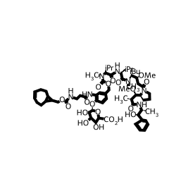 CC[C@H](C)[C@@H]([C@@H](CC(=O)N1CCC[C@H]1[C@H](OC)[C@@H](C)C(=O)N[C@H](C)[C@@H](O)c1ccccc1)OC)N(C)C(=O)[C@@H](NC(=O)[C@H](C(C)C)N(C)C(=O)OCc1ccc(O[C@@H]2OC(C(=O)O)[C@@H](O)C(O)C2O)c(NC(=O)CCNC(=O)OCC2C3CC/C=C\CCC32)c1)C(C)C